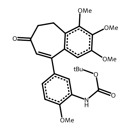 COc1ccc(C2=CC(=O)CCc3c2cc(OC)c(OC)c3OC)cc1NC(=O)OC(C)(C)C